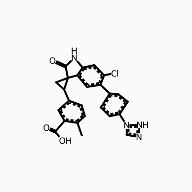 Cc1ccc(C2CC23C(=O)Nc2cc(Cl)c(-c4ccc(-n5cn[nH]5)cc4)cc23)cc1C(=O)O